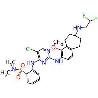 COc1c(Nc2ncc(Cl)c(Nc3ccccc3S(=O)(=O)N(C)C)n2)ccc2c1CCC(NCC(F)F)CC2